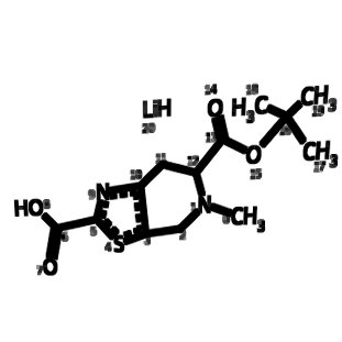 CN1Cc2sc(C(=O)O)nc2CC1C(=O)OC(C)(C)C.[LiH]